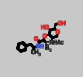 CC(=O)N[C@@H]1CO[C@H](CO)[C@@H](O)[C@@H]1OC(C)C(=O)NC(C)Cc1ccccc1